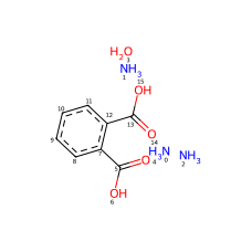 N.N.N.O.O=C(O)c1ccccc1C(=O)O